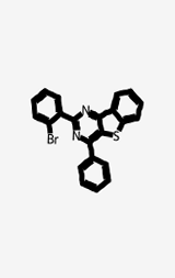 Brc1ccccc1-c1nc(-c2ccccc2)c2sc3ccccc3c2n1